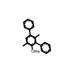 COc1c(C)[c]c(-c2ccccc2)c(C)c1-c1ccccc1